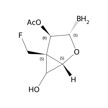 B[C@@H]1O[C@@H]2C(O)[C@]2(CF)[C@H]1OC(C)=O